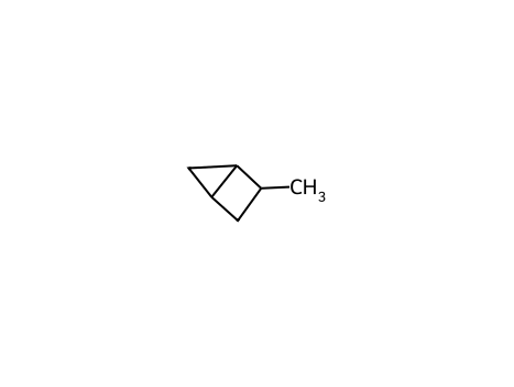 CC1CC2CC12